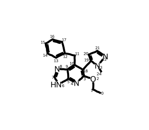 CCOc1nc2[nH]cnc2c(Cc2ccccc2)c1-c1ccnn1C